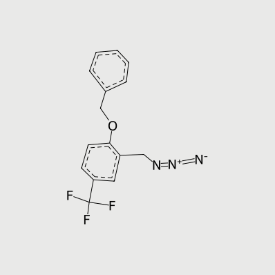 [N-]=[N+]=NCc1cc(C(F)(F)F)ccc1OCc1ccccc1